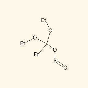 CCOC(CC)(OCC)OP=O